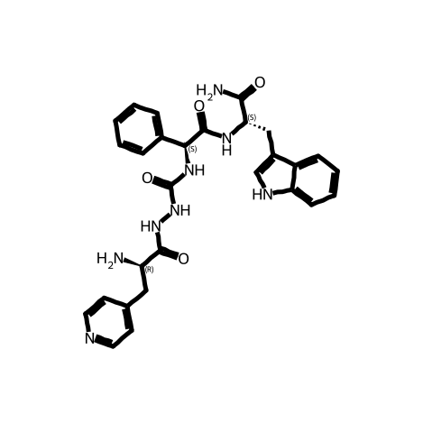 NC(=O)[C@H](Cc1c[nH]c2ccccc12)NC(=O)[C@@H](NC(=O)NNC(=O)[C@H](N)Cc1ccncc1)c1ccccc1